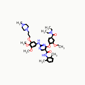 CCOc1cc(C(=O)N(CC)CC)ccc1Oc1nc(Nc2cc(OC)c(OC)c(OCCCN3CCN(C)CC3)c2)ncc1C(=O)Nc1c(C)cccc1C